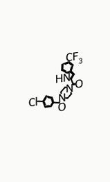 O=C(c1ccc(Cl)cc1)N1CCN(C(=O)c2cc3cc(C(F)(F)F)ccc3[nH]2)CC1